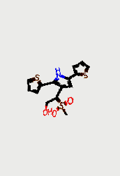 CS(=O)(=O)C(CO)c1cc(-c2cccs2)[nH]c1-c1cccs1